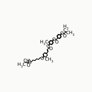 C=C(C)C(=O)OCCCCCCOC1=CC=C(/C=C/C(=O)Oc2ccc(OC(=O)c3ccc(OC(=O)C(=C)C)cc3)cc2C)CC1C